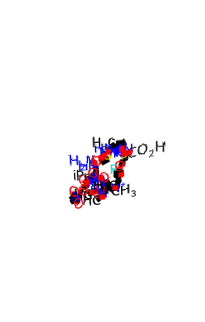 C#CCOC(=O)N(CC#C)Cc1cc(NC(=O)[C@H](CCCNC(N)=O)NC(=O)[C@@H](NC(=O)CCOCCN2C(=O)C=CC2=O)C(C)C)ccc1C[N+](C)(C)CC#Cc1ccc(OCCCc2sc(N3CCCc4c3nnc(Nc3nc5ccccc5s3)c4C)nc2C(=O)O)c(F)c1